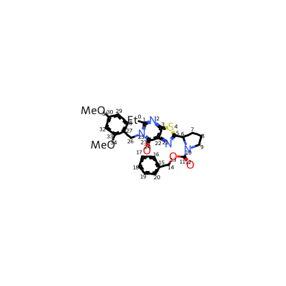 CCc1nc2sc(C3CCCN3C(=O)OCc3ccccc3)nc2c(=O)n1Cc1ccc(OC)cc1OC